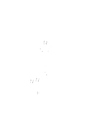 NC(=O)n1cccc1Cc1ccc(-n2cc(F)cn2)nc1